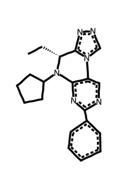 CC[C@@H]1c2nncn2-c2cnc(-c3ccccc3)nc2N1C1CCCC1